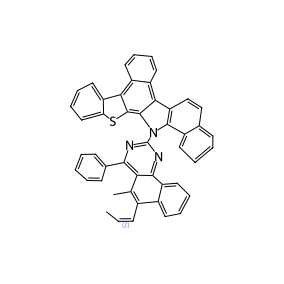 C/C=C\c1c(C)c2c(-c3ccccc3)nc(-n3c4c5ccccc5ccc4c4c5ccccc5c5c6ccccc6sc5c43)nc2c2ccccc12